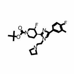 Cc1cc(-c2cn(CCN3CCC3)c([C@H]3CCN(C(=O)OC(C)(C)C)C[C@H]3F)n2)ccc1F